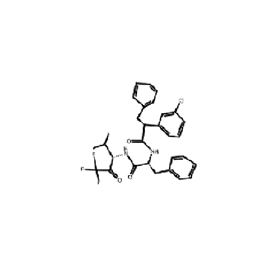 CC(C)[C@H](NC(=O)[C@H](Cc1ccccc1)NC(=O)[C@@H](Cc1ccccc1)c1cccc(Cl)c1)C(=O)C(F)(F)F